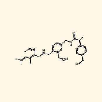 C/C=N\C(CNCc1ccc(CNC(=O)C(C)c2ccc(CC(C)C)cc2)cc1CO)=C(\C)C=C(C)C